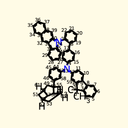 CC1(C)c2ccccc2-c2ccc(N(c3ccc(-c4ccccc4-n4c5ccccc5c5cc6ccccc6cc54)cc3)c3cccc(C45C[C@@H]6C[C@H]7C[C@@H](C4)C5C76)c3)cc21